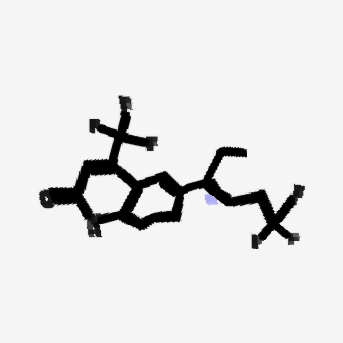 CC/C(=C\CC(F)(F)F)c1ccc2[nH]c(=O)cc(C(F)(F)F)c2c1